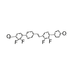 COc1ccc(-c2ccc(/C=C/c3ccc(-c4ccc(C5CO5)c(F)c4F)cc3)c(F)c2F)cc1